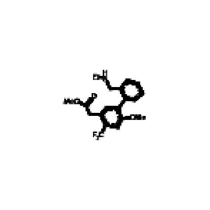 CCNCc1ccccc1-c1cc(CC(=O)OC)c(C(F)(F)F)cc1OC